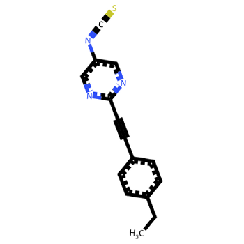 CCc1ccc(C#Cc2ncc(N=C=S)cn2)cc1